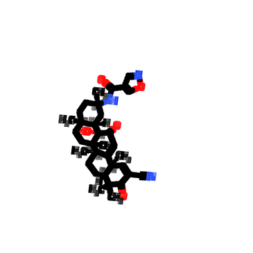 CC1(C)C(=O)C(C#N)=C[C@]2(C)C3=CC(=O)[C@]4(O)[C@@H]5C[C@@](C)(NC(=O)c6cnoc6)CC[C@@]5(C)CC[C@@]4(C)[C@]3(C)CC[C@@H]12